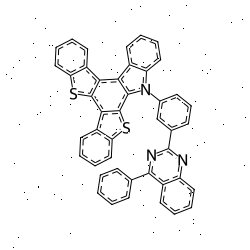 c1ccc(-c2nc(-c3cccc(-n4c5ccccc5c5c6c7ccccc7sc6c6c7ccccc7sc6c54)c3)nc3ccccc23)cc1